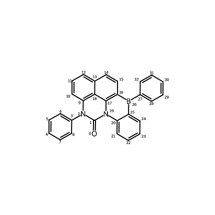 O=C1N(c2ccccc2)c2cccc3ccc4c(c23)N1c1ccccc1B4c1ccccc1